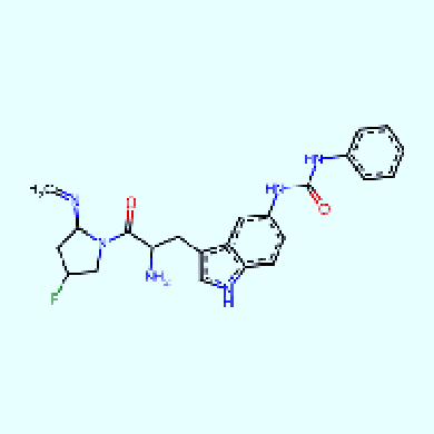 C=NC1CC(F)CN1C(=O)C(N)Cc1c[nH]c2ccc(NC(=O)Nc3ccccc3)cc12